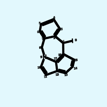 IC1c2ccccc2Cn2ccc3cccc1c32